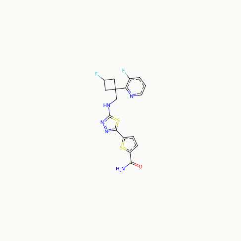 NC(=O)c1ccc(-c2nnc(NCC3(c4ncccc4F)CC(F)C3)s2)s1